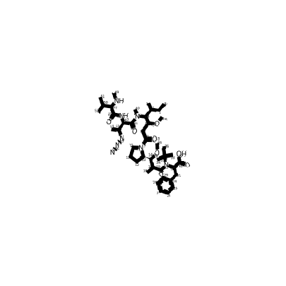 CCC(C)C(C(CC(=O)N1CCC[C@H]1C(OC)C(C)C(=O)N(C(Cc1ccccc1)C(=O)O)C(C)(C)C)OC)N(C)C(=O)C(NC(=O)C(NC)C(C)C)C(C)N=[N+]=[N-]